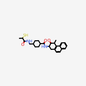 CC(S)C(=O)NCC1CCC(C(=O)NC2Cc3ccc4ccccc4c3C(C)C2=O)CC1